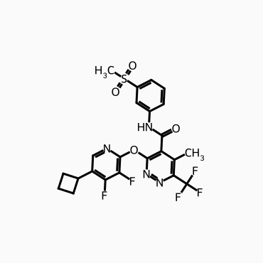 Cc1c(C(F)(F)F)nnc(Oc2ncc(C3CCC3)c(F)c2F)c1C(=O)Nc1cccc(S(C)(=O)=O)c1